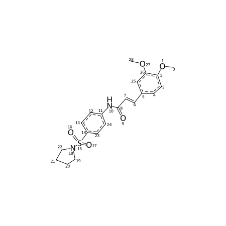 COc1ccc(C=CC(=O)Nc2ccc(S(=O)(=O)N3CCCC3)cc2)cc1OC